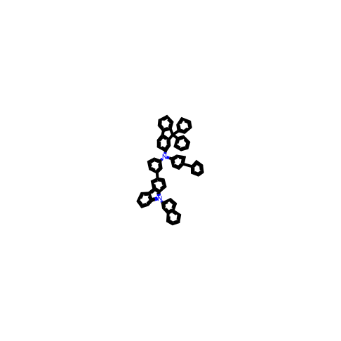 c1ccc(-c2ccc(N(c3cccc(-c4ccc5c(c4)c4ccccc4n5-c4ccc5ccccc5c4)c3)c3ccc4c(c3)C(c3ccccc3)(c3ccccc3)c3ccccc3-4)cc2)cc1